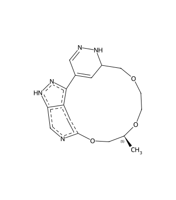 C[C@H]1COc2cc3c(n[nH]c3cn2)C2=CC(COCCO1)NN=C2